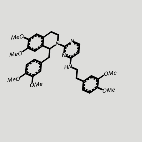 COc1ccc(CCNc2ccnc(N3CCc4cc(OC)c(OC)cc4C3Cc3ccc(OC)c(OC)c3)n2)cc1OC